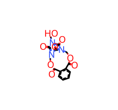 O=C1OCn2c(=O)n(CO)c(=O)n(c2=O)COC(=O)c2ccccc21